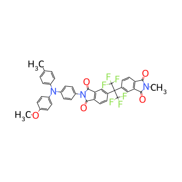 COc1ccc(N(c2ccc(C)cc2)c2ccc(N3C(=O)c4ccc(C(c5ccc6c(c5)C(=O)N(C)C6=O)(C(F)(F)F)C(F)(F)F)cc4C3=O)cc2)cc1